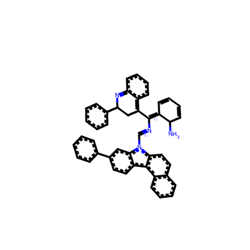 NC1C=CC=C/C1=C(/N=C/n1c2cc(-c3ccccc3)ccc2c2c3ccccc3ccc21)C1=c2ccccc2=NC(c2ccccc2)C1